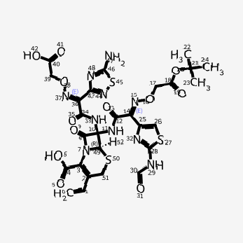 C=CC1=C(C(=O)O)N2C(=O)C(NC(=O)/C(=N/OCC(=O)OC(C)(C)C)c3csc(NC=O)n3)(NC(=O)/C(=N/OCC(=O)O)c3nsc(N)n3)[C@H]2SC1